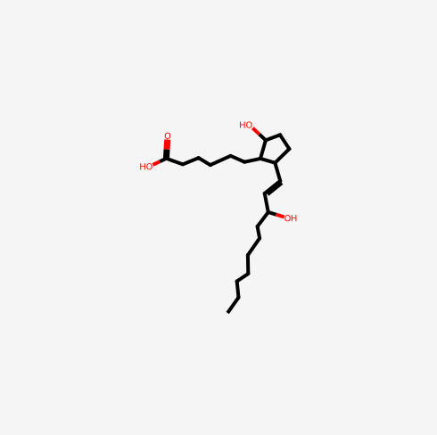 CCCCCCCC(O)C=CC1CCC(O)C1CCCCCC(=O)O